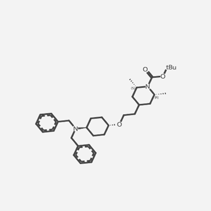 C[C@@H]1CC(CCO[C@H]2CC[C@H](N(Cc3ccccc3)Cc3ccccc3)CC2)C[C@H](C)N1C(=O)OC(C)(C)C